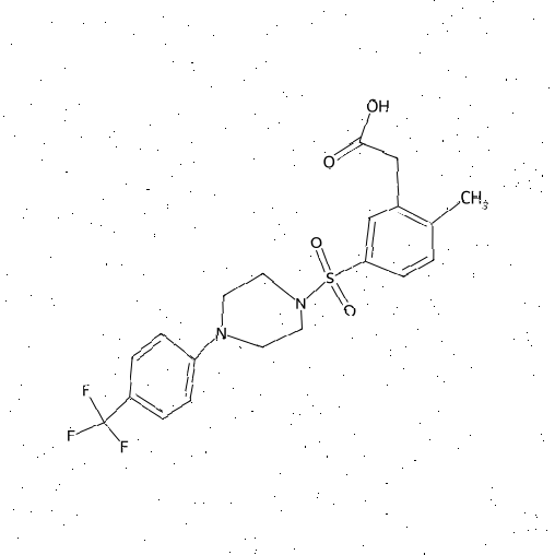 Cc1ccc(S(=O)(=O)N2CCN(c3ccc(C(F)(F)F)cc3)CC2)cc1CC(=O)O